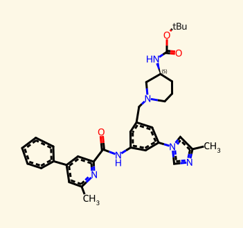 Cc1cn(-c2cc(CN3CCC[C@H](NC(=O)OC(C)(C)C)C3)cc(NC(=O)c3cc(-c4ccccc4)cc(C)n3)c2)cn1